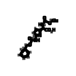 CC(C)(C)OC(=O)NC(C(=O)O)c1csc(NC(=O)OCc2ccccc2)n1